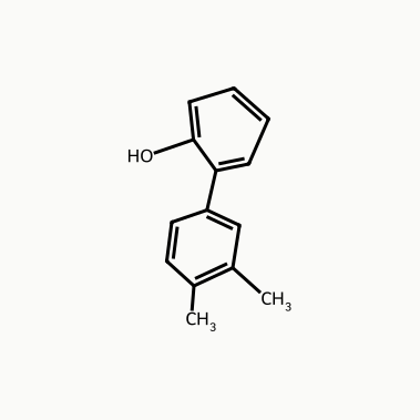 Cc1ccc(-c2ccccc2O)cc1C